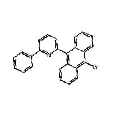 Brc1c2ccccc2c(-c2cccc(-c3ccccc3)n2)c2ccccc12